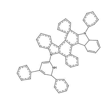 C1=CC2c3c(c4ccccc4c4c3c3ccccc3c3c4c4ccccc4n3C3=CC(c4ccccc4)=CC(c4ccccc4)N3)N(c3ccccc3)C2C=C1